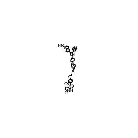 O=C1CCC(N2C(=O)c3ccc(OCCOCCN4CCN(c5ccc(-n6cc(-c7ccc8c(c7)CC/C8=N\O)c(-c7ccncc7)n6)cc5)CC4)cc3C2=O)C(=O)N1